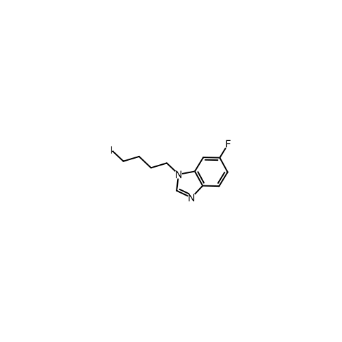 Fc1ccc2ncn(CCCCI)c2c1